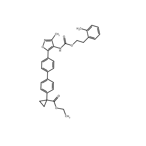 CCOC(=O)C1(c2ccc(-c3ccc(-c4onc(C)c4NC(=O)OCCc4ccccc4C)cc3)cc2)CC1